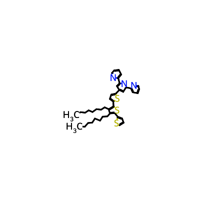 CCCCCCCCc1c(-c2cccs2)sc(-c2ccc(-c3cc(-c4ccccn4)nc(-c4ccccn4)c3)s2)c1CCCCCCCC